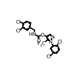 O=C(NCc1ccc(Cl)c(Cl)c1)Oc1cnn(-c2cc(Cl)ccc2Cl)c1C(F)(F)F